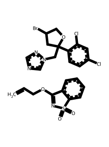 C=CCOC1=NS(=O)(=O)c2ccccc21.Clc1ccc(C2(Cn3cncn3)CC(Br)CO2)c(Cl)c1